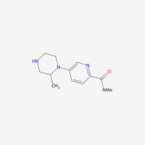 CNC(=O)c1ccc(N2CCNCC2C)cn1